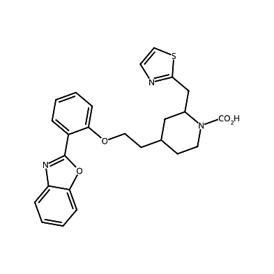 O=C(O)N1CCC(CCOc2ccccc2-c2nc3ccccc3o2)CC1Cc1nccs1